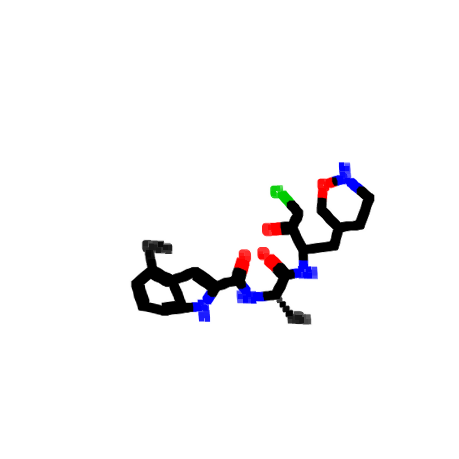 CCCC[C@H](NC(=O)c1cc2c(OC)cccc2[nH]1)C(=O)NC(CC1CCNOC1)C(=O)CCl